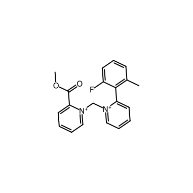 COC(=O)c1cccc[n+]1C[n+]1ccccc1-c1c(C)cccc1F